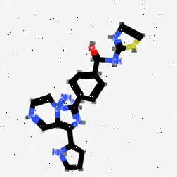 N[N+]12C=CN=CC1=C(C1CCCN1)N=C2c1ccc(C(=O)Nc2nccs2)cc1